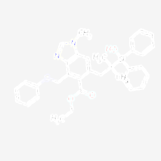 CCOC(=O)c1c(CC(C)(C)[Si](O)(c2ccccc2)c2ccccc2)cc2c(ncn2C)c1CSc1ccccc1